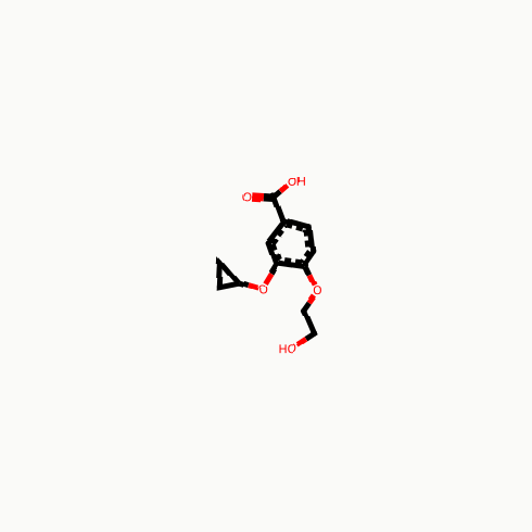 O=C(O)c1ccc(OCCO)c(OC2CC2)c1